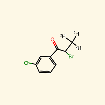 [2H]C([2H])([2H])C(Br)C(=O)c1cccc(Cl)c1